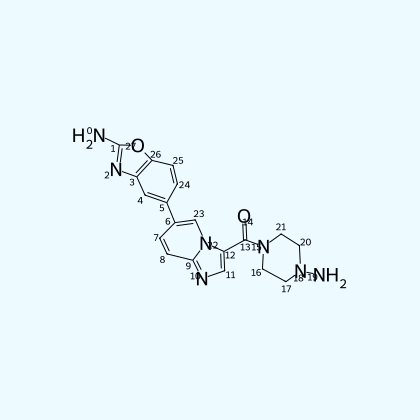 Nc1nc2cc(-c3ccc4ncc(C(=O)N5CCN(N)CC5)n4c3)ccc2o1